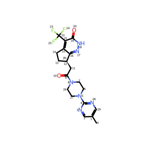 Cc1cnc(N2CCN(C(=O)C[C@H]3CCc4c3n[nH]c(=O)c4C(F)(F)F)CC2)nc1